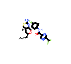 COC[C@H]1C[C@H]2CSC(N)=N[C@@]2(c2cc(NC(=O)c3cnc(C(F)F)cn3)ccc2F)CO1